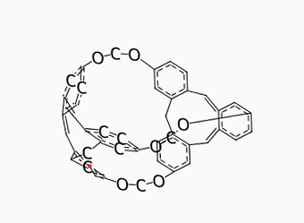 C1=c2/ccc3c/c2=C/c2ccc4cc2Cc2ccc(cc2/1)OCOc1ccc2c(c1)/C=c1/ccc(c/c1=C\c1ccc(cc1C2)OCO3)OCO4